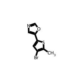 Cc1sc(-c2cnco2)cc1Br